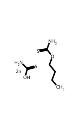 CCCCOC(N)=S.NC(O)=S.[Zn]